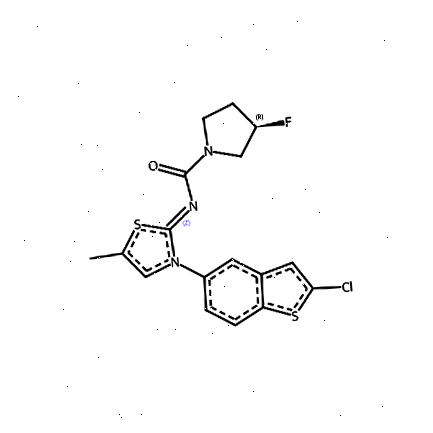 Cc1cn(-c2ccc3sc(Cl)cc3c2)/c(=N/C(=O)N2CC[C@@H](F)C2)s1